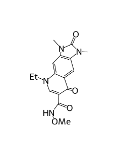 CCn1cc(C(=O)NOC)c(=O)c2cc3c(cc21)n(C)c(=O)n3C